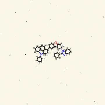 c1ccc(-c2nc3ccccc3n2-c2ccc3oc4ccc(-c5ccc6c7c5ccc5cccc(c57)n6-c5ccccc5)cc4c3c2)cc1